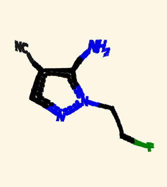 N#Cc1cnn(CCF)c1N